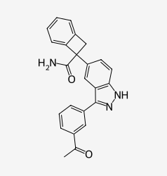 CC(=O)c1cccc(-c2n[nH]c3ccc(C4(C(N)=O)Cc5ccccc54)cc23)c1